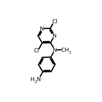 CN(c1ccc(N)cc1)c1nc(Cl)ncc1Cl